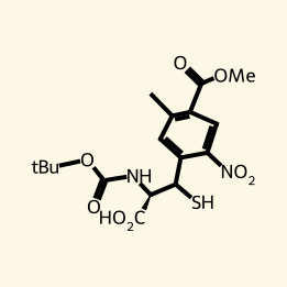 COC(=O)c1cc([N+](=O)[O-])c(C(S)[C@H](NC(=O)OC(C)(C)C)C(=O)O)cc1C